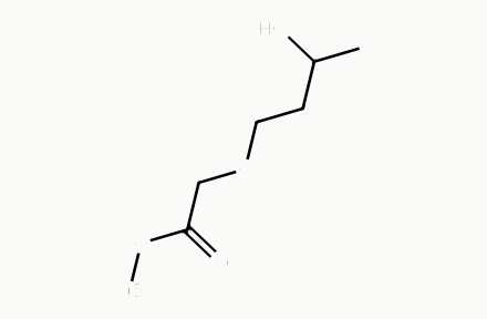 CC(O)CCOCC(=O)OC(C)(C)C